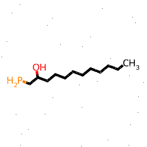 CCCCCCCCCCC(O)CP